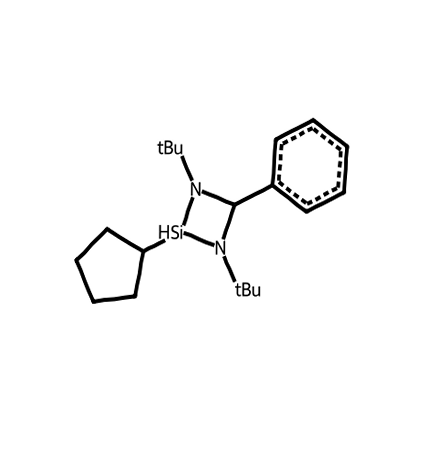 CC(C)(C)N1C(c2ccccc2)N(C(C)(C)C)[SiH]1C1CCCC1